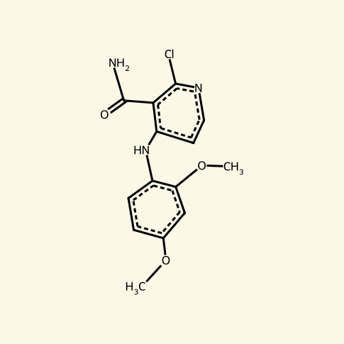 COc1ccc(Nc2ccnc(Cl)c2C(N)=O)c(OC)c1